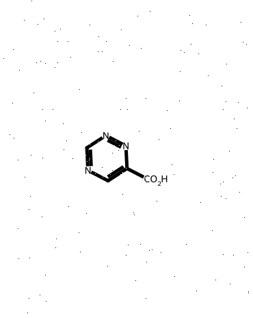 O=C(O)c1cncnn1